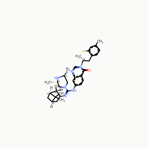 Cc1ccc(C[C@@H](C)n2cnc3cc(N/C(=N/C4C[C@H]5C[C@@H]([C@@H]4C)C5(C)C)N4C[C@H](C)N[C@@H](C)C4)ccc3c2=O)c(F)c1